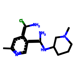 Cc1cc(=C(/N)Cl)/c(=C(\N)NC2CCCN(C)C2)cn1